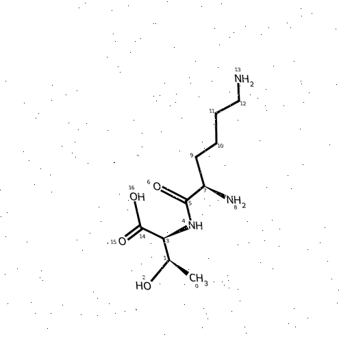 C[C@@H](O)[C@H](NC(=O)[C@H](N)CCCCN)C(=O)O